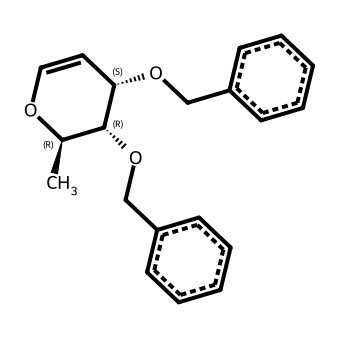 C[C@H]1OC=C[C@H](OCc2ccccc2)[C@@H]1OCc1ccccc1